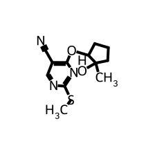 CSc1ncc(C#N)c(OC2CCCC2(C)O)n1